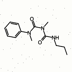 CCCNC(=O)N(C)C(=O)N(C)c1ccccc1